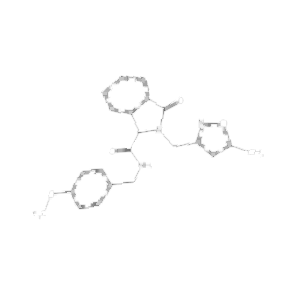 Cc1cc(CN2C(=O)c3ccccc3C2C(=O)NCc2ccc(OC(F)(F)F)cc2)no1